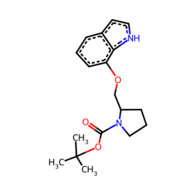 CC(C)(C)OC(=O)N1CCCC1COc1cccc2cc[nH]c12